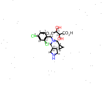 Clc1ccc(CN(CC2CC2)C[C@H]2CCNC2)c(Cl)c1.O=C(O)C(O)C(O)C(=O)O